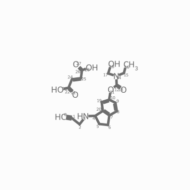 C#CCNC1CCc2ccc(OC(=O)N(CC)CO)cc21.O=C(O)/C=C/C(=O)O